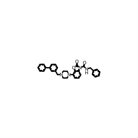 O=C(NCc1ccccc1)n1c(=O)oc2c(N3CCN(Cc4cccc(-c5ccccc5)c4)CC3)cccc21